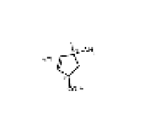 C[C@@]1(N)C=C[C@H](C(=O)O)C1.Cl